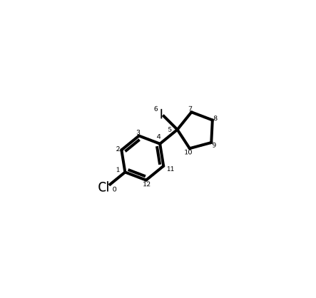 Clc1ccc(C2(I)CCCC2)cc1